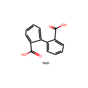 O=C(O)c1ccccc1-c1ccccc1C(=O)O.[NaH]